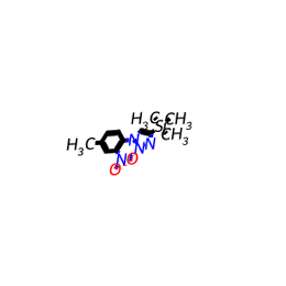 Cc1ccc(-n2cc([Si](C)(C)C)nn2)c([N+](=O)[O-])c1